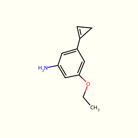 CCOc1cc(N)cc(C2=CC2)c1